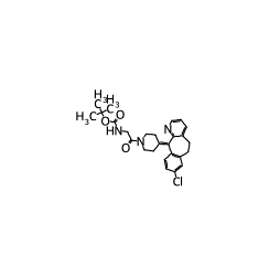 CC(C)(C)OC(=O)NCC(=O)N1CCC(=C2c3ccc(Cl)cc3CCc3cccnc32)CC1